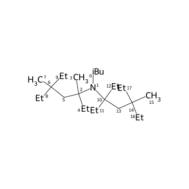 CCC(C)N(C(C)(CC)CC(C)(CC)CC)C(CC)(CC)CC(C)(CC)CC